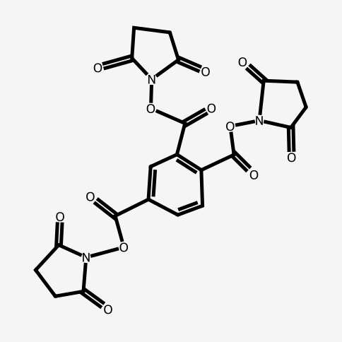 O=C(ON1C(=O)CCC1=O)c1ccc(C(=O)ON2C(=O)CCC2=O)c(C(=O)ON2C(=O)CCC2=O)c1